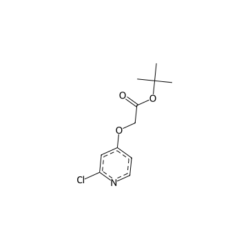 CC(C)(C)OC(=O)COc1ccnc(Cl)c1